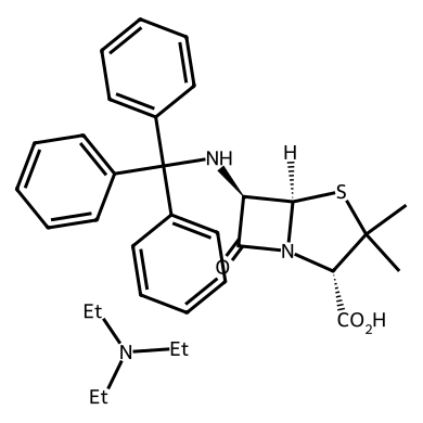 CC1(C)S[C@@H]2[C@H](NC(c3ccccc3)(c3ccccc3)c3ccccc3)C(=O)N2[C@H]1C(=O)O.CCN(CC)CC